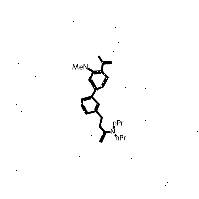 C=C(C)c1ccc(-c2cccc(CCC(=C)N(CCC)CCC)c2)cc1NC